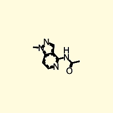 CC(=O)Nc1nccc2c1cnn2C